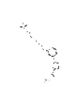 CC(C)(C)OC(=O)c1csc(-c2ccnc(CCCOCCOS(C)(=O)=O)c2)n1